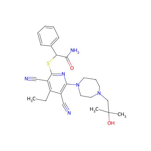 CCc1c(C#N)c(SC(C(N)=O)c2ccccc2)nc(N2CCCN(CC(C)(C)O)CC2)c1C#N